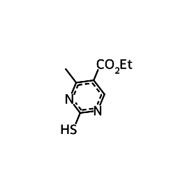 CCOC(=O)c1cnc(S)nc1C